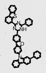 c1ccc(C2=NC(c3cccc4c3sc3ccccc34)=NC(c3ccc4c(c3)oc3cc(-n5c6ccccc6c6ccc(-c7ccccc7)cc65)ccc34)N2)cc1